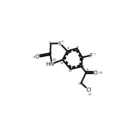 O=C1CSc2cc(F)c(C(=O)CCl)cc2N1